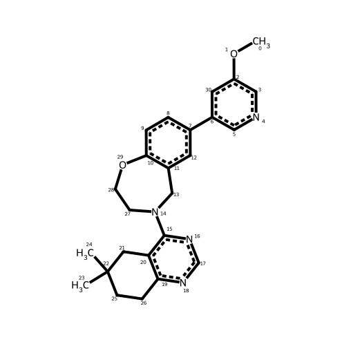 COc1cncc(-c2ccc3c(c2)CN(c2ncnc4c2CC(C)(C)CC4)CCO3)c1